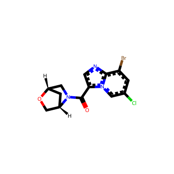 O=C(c1cnc2c(Br)cc(Cl)cn12)N1C[C@@H]2C[C@H]1CO2